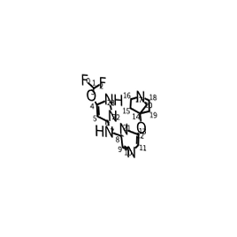 FC(F)Oc1cc(Nc2cncc(OC34CCN(CC3)C4)n2)n[nH]1